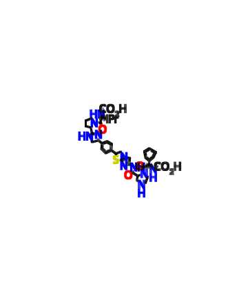 CC(C)[C@H](NC(=O)O)C(=O)N1CCCC1C1=NC(c2ccc(C3Cn4cc(NC(=O)C5CNCCN5C(=O)[C@H](NC(=O)O)c5ccccc5)nc4S3)cc2)CN1